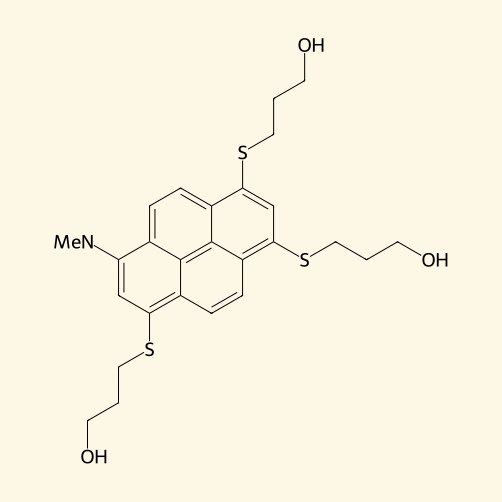 CNc1cc(SCCCO)c2ccc3c(SCCCO)cc(SCCCO)c4ccc1c2c43